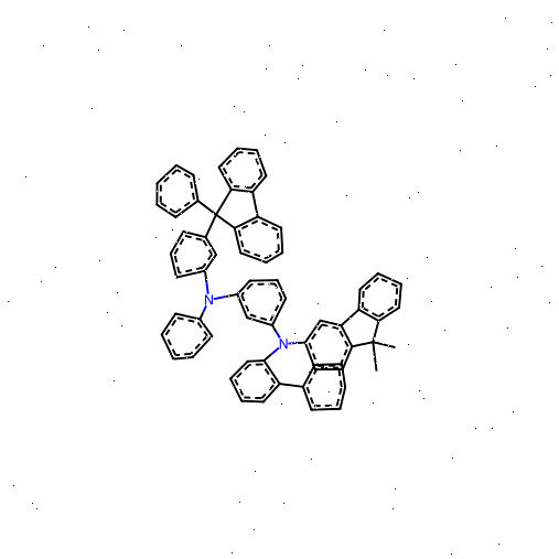 CC1(C)c2ccccc2-c2cc(N(c3cccc(N(c4ccccc4)c4cccc(C5(c6ccccc6)c6ccccc6-c6ccccc65)c4)c3)c3ccccc3-c3ccccc3)ccc21